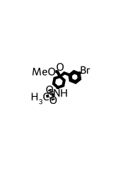 COC(=O)C1(Cc2cccc(Br)c2)CCC(NS(C)(=O)=O)CC1